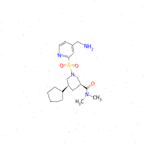 CN(C)C(=O)[C@H]1C[C@@H](C2CCCCC2)CN(S(=O)(=O)c2cc(CN)ccn2)C1